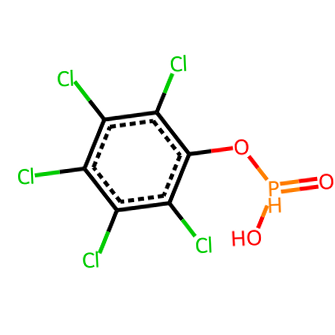 O=[PH](O)Oc1c(Cl)c(Cl)c(Cl)c(Cl)c1Cl